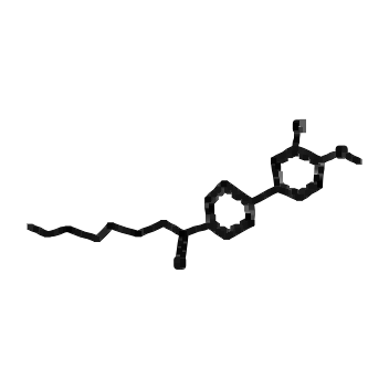 CCCCCCCC(=O)c1ccc(-c2ccc(OC)c(Cl)c2)cc1